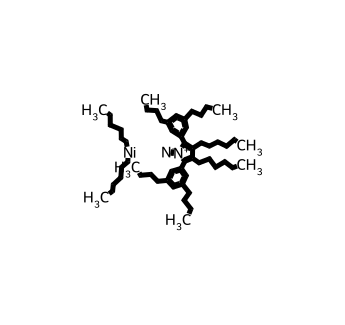 CCCCCCC1=C(c2cc(CCCC)cc(CCCC)c2)[N+](=[N-])C(c2cc(CCCC)cc(CCCC)c2)=C1CCCCCC.CCCCC[CH2][Ni][CH2]CCCCC